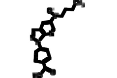 CCCC[S+]([O-])c1cnc2c(cnn2-c2ccc(C(=O)O)cc2)c1